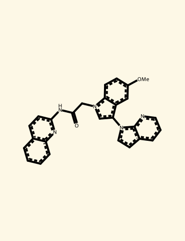 COc1ccc2c(c1)c(-n1ccc3cccnc31)cn2CC(=O)Nc1ccc2ccccc2n1